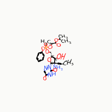 CC#CC1(N)[C@@H](O)[C@@H](COP(=O)(Oc2ccccc2)O[C@@H](C)C(=O)OC(C)C)O[C@H]1n1ncc(=O)[nH]c1=O